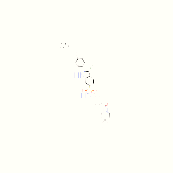 COCCc1ccc(-c2[nH]c3cc(S(=O)(=O)N[C@H]4CC[C@H](C(=O)N5CCC6(CC5)COC6)CC4)ccc3c2Cl)cc1